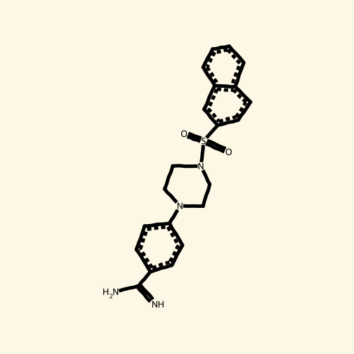 N=C(N)c1ccc(N2CCN(S(=O)(=O)c3ccc4ccccc4c3)CC2)cc1